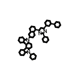 c1ccc(-c2cccc(-c3cc(-c4cccc5cc(-n6c7ccccc7c7c8c9ccccc9n(-c9ccccc9)c8ccc76)ccc45)nc(-c4ccccc4)n3)c2)cc1